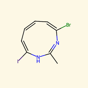 Cc1nc(Br)ccccc(I)[nH]1